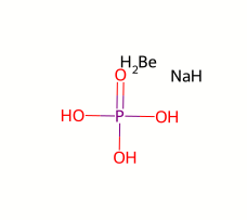 O=P(O)(O)O.[BeH2].[NaH]